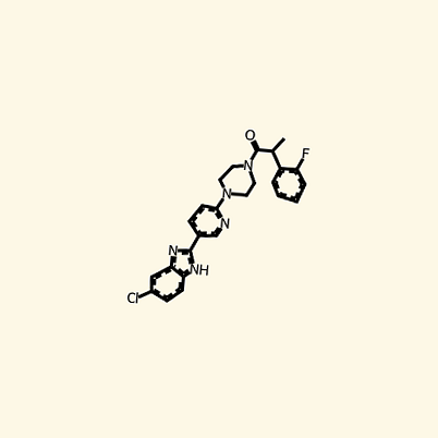 CC(C(=O)N1CCN(c2ccc(-c3nc4cc(Cl)ccc4[nH]3)cn2)CC1)c1ccccc1F